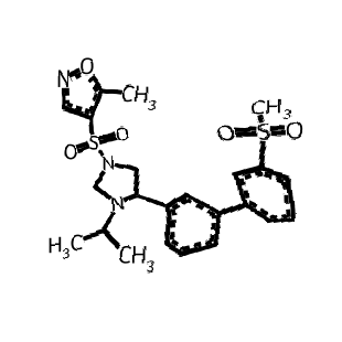 Cc1oncc1S(=O)(=O)N1CC(c2cccc(-c3cccc(S(C)(=O)=O)c3)c2)N(C(C)C)C1